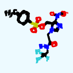 Cc1ccc(S(=O)(=O)OCc2c([N+](=O)[O-])ncn2CC(=O)NCC(F)(F)F)cc1